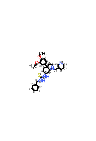 COc1ccc(C23CCC(NC(=S)NCc4ccccc4)CC2N(Cc2cccnc2)CC3)cc1OC